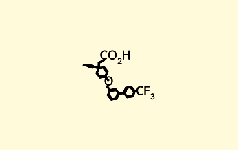 CC#CC1(CCC(=O)O)C=CC(OCc2cccc(-c3ccc(C(F)(F)F)cc3)c2)=CC1